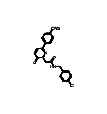 COc1ccc(-c2ccc(=O)n(CC(=O)NCc3ccc(Cl)cc3)n2)cc1